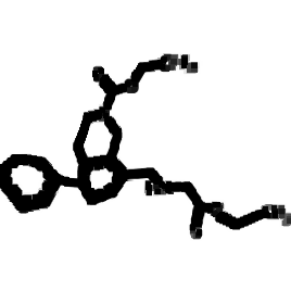 CCOC(=O)CNCc1ccc(-c2ccccc2)c2c1CN(C(=O)OCC)CC2